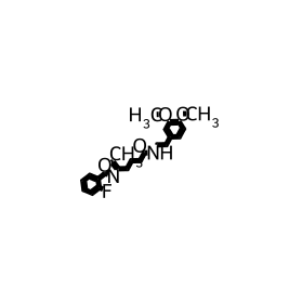 COc1ccc(CCNC(=O)CCCc2nc(-c3ccccc3F)oc2C)cc1OC